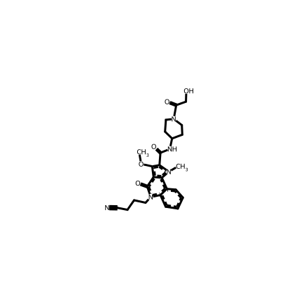 COc1c(C(=O)NC2CCN(C(=O)CO)CC2)n(C)c2c1c(=O)n(CCCC#N)c1ccccc21